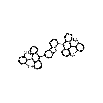 Cc1cccc(C)c1-c1c2ccccc2c(-c2ccc3sc4c(-c5c6ccccc6c(-c6c(C)cccc6C)c6ccccc56)cccc4c3c2)c2ccccc12